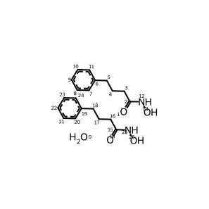 O.O=C(CCCc1ccccc1)NO.O=C(CCCc1ccccc1)NO